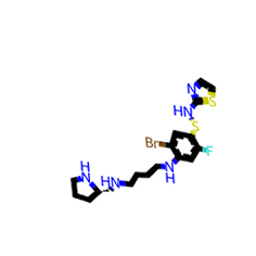 Fc1cc(NCCCCNC[C@@H]2CCCN2)c(Br)cc1SNc1nccs1